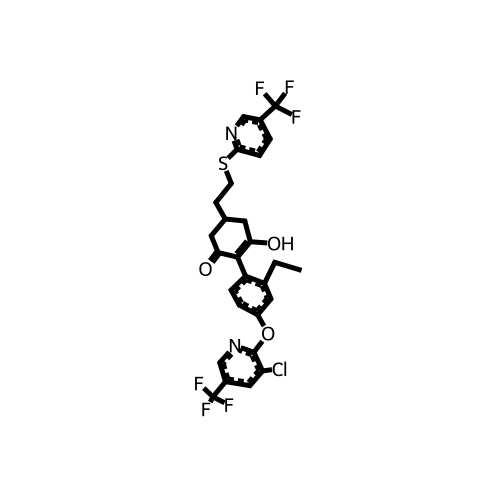 CCc1cc(Oc2ncc(C(F)(F)F)cc2Cl)ccc1C1=C(O)CC(CCSc2ccc(C(F)(F)F)cn2)CC1=O